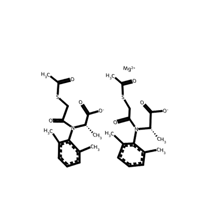 CC(=O)SCC(=O)N(c1c(C)cccc1C)[C@@H](C)C(=O)[O-].CC(=O)SCC(=O)N(c1c(C)cccc1C)[C@@H](C)C(=O)[O-].[Mg+2]